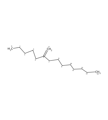 [CH2]CCCCC(=C)CCCCCCCC